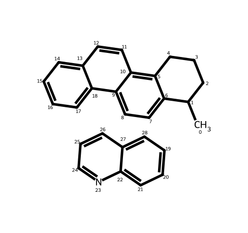 CC1CCCc2c1ccc1c2ccc2ccccc21.c1ccc2ncccc2c1